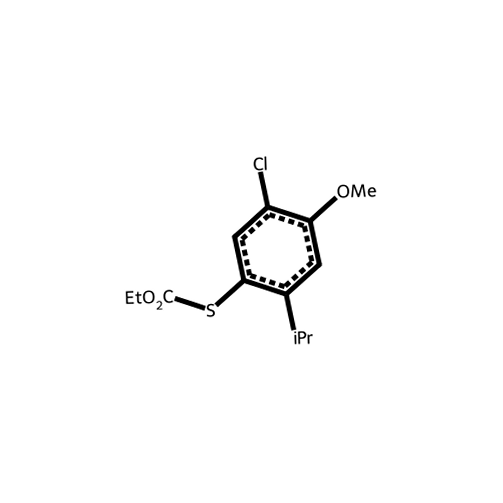 CCOC(=O)Sc1cc(Cl)c(OC)cc1C(C)C